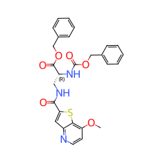 COc1ccnc2cc(C(=O)NC[C@@H](NC(=O)OCc3ccccc3)C(=O)OCc3ccccc3)sc12